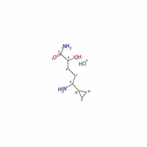 Cl.NC(=O)C(O)CCC(N)C1CC1